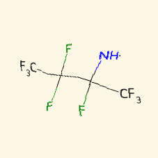 [NH]C(F)(C(F)(F)F)C(F)(F)C(F)(F)F